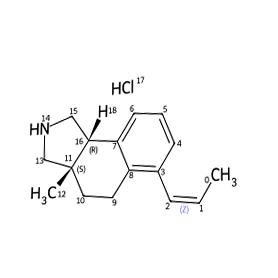 C/C=C\c1cccc2c1CC[C@]1(C)CNC[C@H]21.Cl